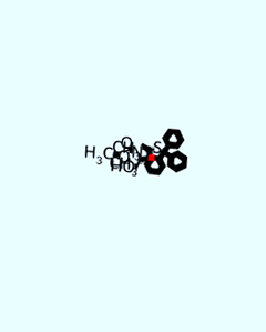 CC(C)(C)OC(=O)N1C[C@H](SC(c2ccccc2)(c2ccccc2)c2ccccc2)C[C@H]1CO